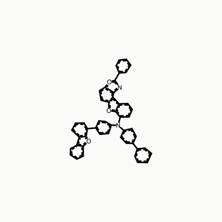 c1ccc(-c2ccc(N(c3ccc(-c4cccc5c4oc4ccccc45)cc3)c3cccc4c3oc3ccc5oc(-c6ccccc6)nc5c34)cc2)cc1